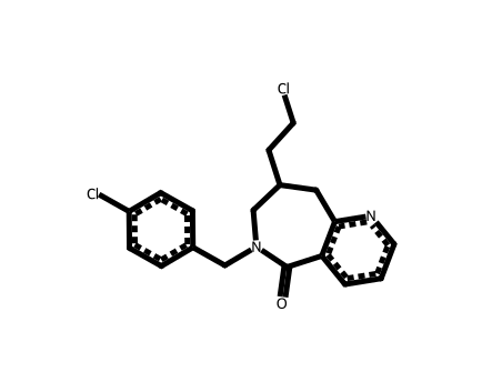 O=C1c2cccnc2CC(CCCl)CN1Cc1ccc(Cl)cc1